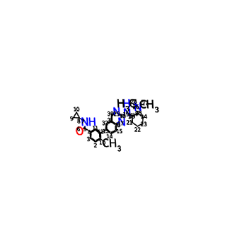 Cc1ccc(C(=O)NC2CC2)cc1-c1ccc2nc(N[C@H]3CCCC[C@H]3N(C)C)ncc2c1